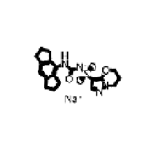 O=C([N-]S(=O)(=O)c1cnn2c1OCCC2)Nc1c2c(cc3c1CCC3)CCC2.[Na+]